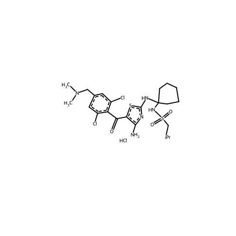 CC(C)CS(=O)(=O)NC1(Nc2nc(N)c(C(=O)c3c(Cl)cc(CN(C)C)cc3Cl)s2)CCCCC1.Cl